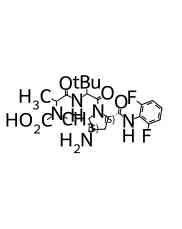 CC(C(=O)NC(C(=O)N1C[C@@H](N)C[C@H]1C(=O)Nc1c(F)cccc1F)C(C)(C)C)N(C)C(=O)O